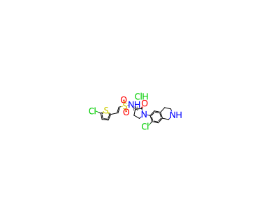 Cl.O=C1[C@@H](NS(=O)(=O)C=Cc2ccc(Cl)s2)CCN1c1cc2c(cc1Cl)CNCC2